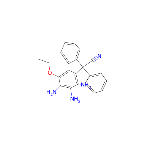 CCOc1cc(C(C#N)(c2ccccc2)c2ccccc2)c(N)c(N)c1N